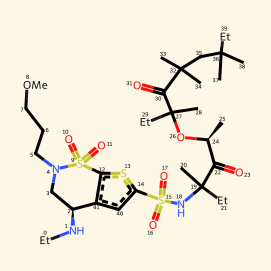 CCN[C@H]1CN(CCCOC)S(=O)(=O)c2sc(S(=O)(=O)NC(C)(CC)C(=O)[C@H](C)OC(C)(CC)C(=O)C(C)(C)CC(C)(C)CC)cc21